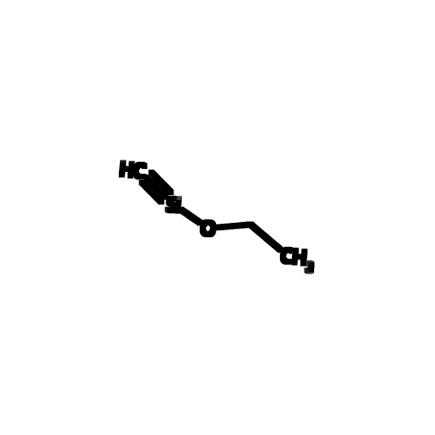 C#[Si]OCC